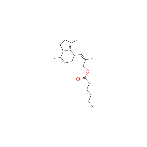 CCCCCC(=O)OC/C(C)=C\[C@@H]1CCC(C)C2CCC(C)=C21